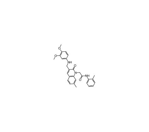 COc1ccc(NCc2cc3ccc(C)cc3n(CC(=O)Nc3ccccc3C)c2=O)cc1OC